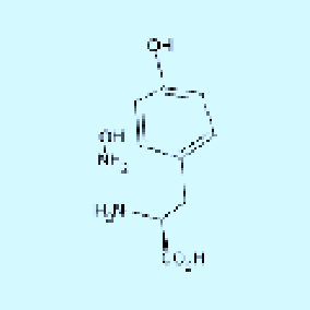 NO.N[C@@H](Cc1ccc(O)cc1)C(=O)O